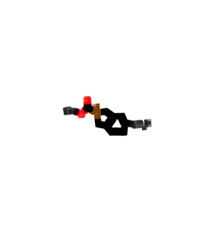 CC(C)(C)OC(=O)[SH]1Cc2ccc(C(=O)O)cc2C1